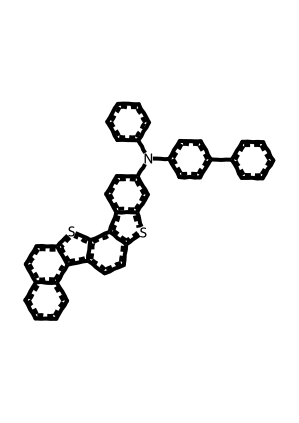 c1ccc(-c2ccc(N(c3ccccc3)c3ccc4c(c3)sc3ccc5c(sc6ccc7ccccc7c65)c34)cc2)cc1